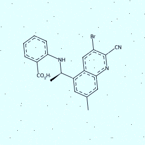 Cc1cc([C@@H](C)Nc2ccccc2C(=O)O)c2cc(Br)c(C#N)nc2c1